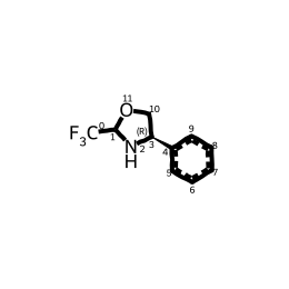 FC(F)(F)C1N[C@H](c2ccccc2)CO1